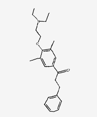 CCN(CC)CCOc1c(C)cc(C(=O)CCc2ccccc2)cc1C